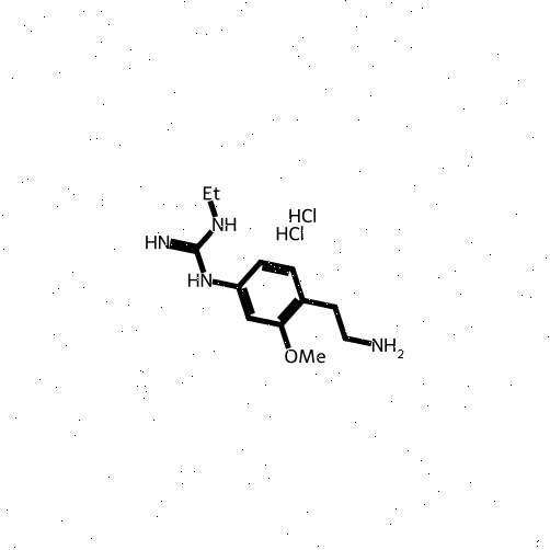 CCNC(=N)Nc1ccc(CCN)c(OC)c1.Cl.Cl